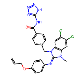 C=CCOc1ccc(N=c2n(C)c3cc(Cl)c(Cl)cc3n2Cc2ccc(C(=O)Nc3nnn[nH]3)cc2)cc1